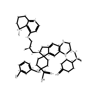 C[C@@H](COc1ccnc2c1[C@H](C)CCC2)C[C@H]1Cc2cc3c(cc2C12CCC(Nc1cccc(Cl)c1)(C(=O)O)CC2)O[C@@H](CN(C)C1CCC(=O)CC1)CO3